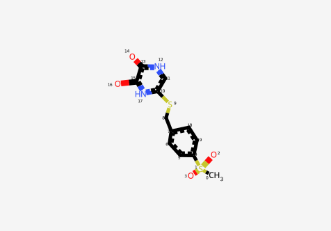 CS(=O)(=O)c1ccc(CSc2c[nH]c(=O)c(=O)[nH]2)cc1